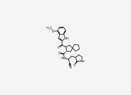 COc1cccc2[nH]c(C(=O)N3CC4(CCCC4)C[C@H]3C(=O)NC(C#N)CC3CCNC3=O)cc12